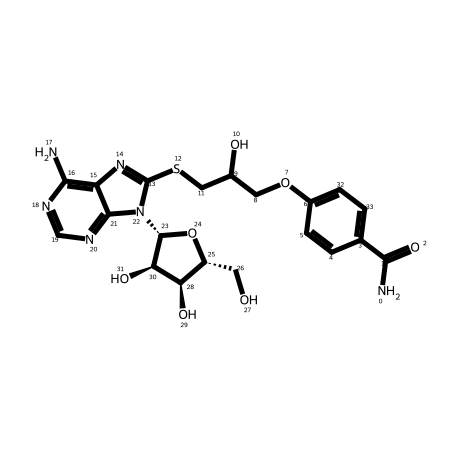 NC(=O)c1ccc(OCC(O)CSc2nc3c(N)ncnc3n2[C@@H]2O[C@H](CO)[C@@H](O)[C@H]2O)cc1